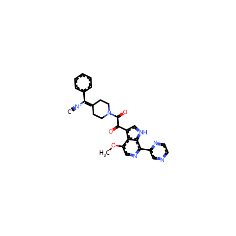 [C-]#[N+]C(=C1CCN(C(=O)C(=O)c2c[nH]c3c(-c4cnccn4)ncc(OC)c23)CC1)c1ccccc1